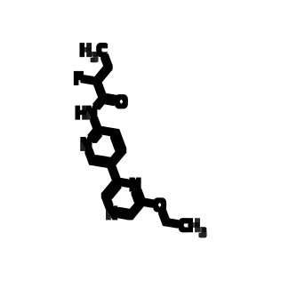 CCOc1cncc(-c2ccc(NC(=O)C(F)CC)nc2)n1